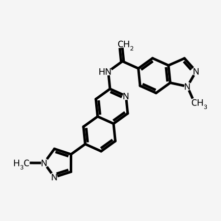 C=C(Nc1cc2cc(-c3cnn(C)c3)ccc2cn1)c1ccc2c(cnn2C)c1